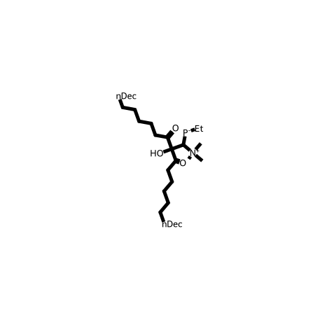 CCCCCCCCCCCCCCCC(=O)C(O)(C(=O)CCCCCCCCCCCCCCC)C([P-]CC)[N+](C)(C)C